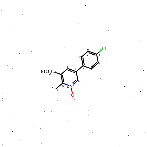 CCOC(=O)c1cc(-c2ccc(Cl)cc2)c[n+]([O-])c1C